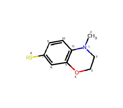 CN1CCOc2cc(S)ccc21